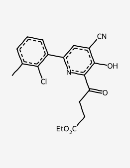 CCOC(=O)CCC(=O)c1nc(-c2cccc(C)c2Cl)cc(C#N)c1O